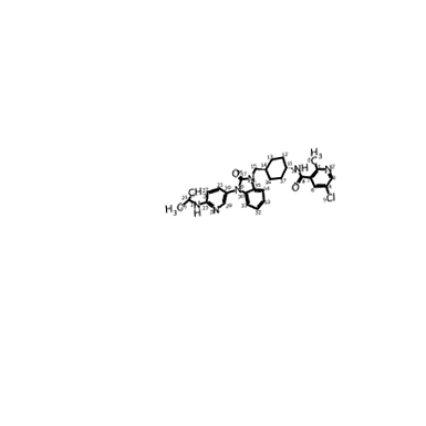 Cc1ncc(Cl)cc1C(=O)N[C@H]1CC[C@H](Cn2c(=O)n(-c3ccc(NC(C)C)nc3)c3ccccc32)CC1